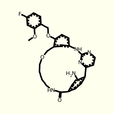 COc1cc(F)ccc1COc1ccc2cc1COCCCCNC(=O)c1ccc(c(N)c1)-c1ccnc(n1)N2